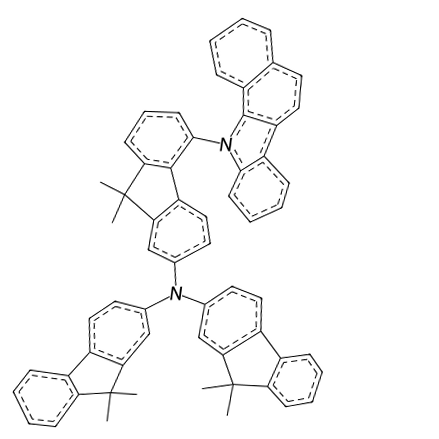 CC1(C)c2ccccc2-c2ccc(N(c3ccc4c(c3)C(C)(C)c3ccccc3-4)c3ccc4c(c3)C(C)(C)c3cccc(-n5c6ccccc6c6ccc7ccccc7c65)c3-4)cc21